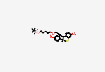 COc1ccc(C2(C)CSc3cc(OC)ccc3C2C#CCOCCCCCO[Si](C)(C)C(C)(C)C)cc1